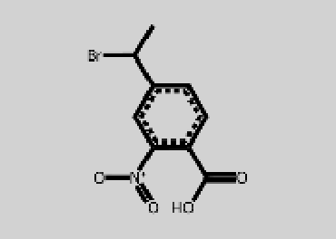 CC(Br)c1ccc(C(=O)O)c([N+](=O)[O-])c1